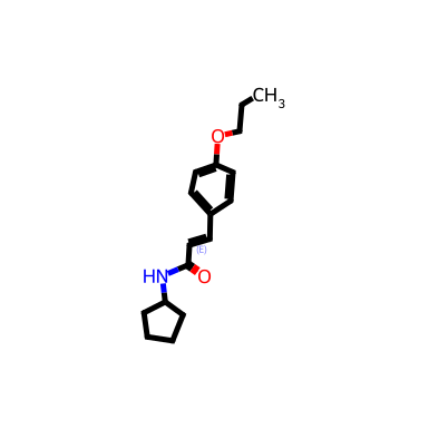 CCCOc1ccc(/C=C/C(=O)NC2CCCC2)cc1